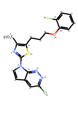 CCOC(=O)c1nc(-n2ccc3cc(Cl)nnc32)sc1CCCOc1ccccc1F